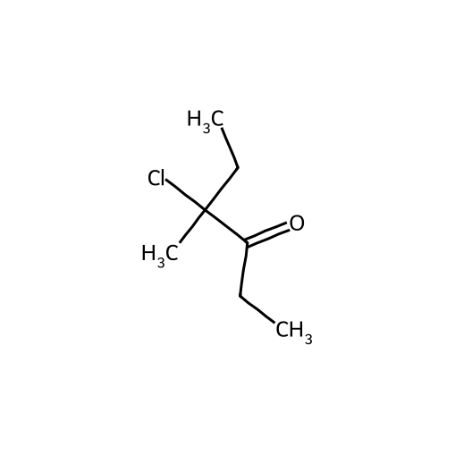 CCC(=O)C(C)(Cl)CC